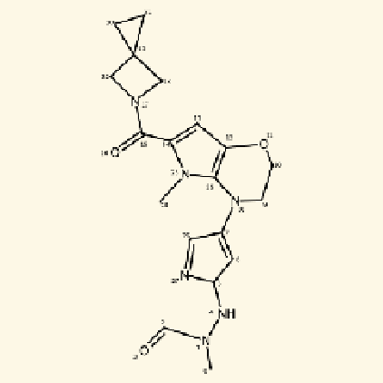 CN(C=O)NC1C=C(N2CCOc3cc(C(=O)N4CC5(CC5)C4)n(C)c32)C=N1